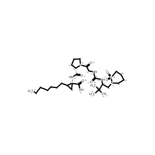 CCCCCCCC1C[C@]1(NC(=O)[C@@H]1CCCN1C(=O)CNC(=O)NC(CN1CCCCS1(=O)=O)C(C)(C)C)C(=O)O